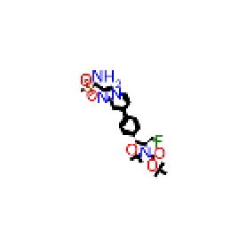 CC(C)(C)OC(=O)N1[C@H](CF)[C@@H](c2ccc(-c3ccn4cc(C(N)S(C)(=O)=O)nc4c3)cc2)OC1(C)C